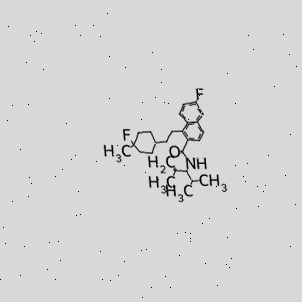 C=C(C)C(NC(=O)c1ccc2cc(F)ccc2c1CCC1CCC(C)(F)CC1)C(C)C